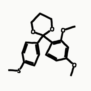 COc1ccc(C2(c3ccc(SC)cc3)OCCCO2)c(OC)c1